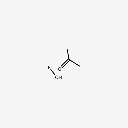 CC(C)=O.OF